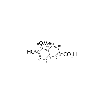 COc1c(O)ccc2cc(C(=O)O)ccc12